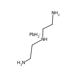 NCCNCCN.[PbH2]